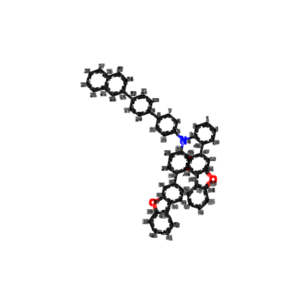 c1ccc(N(c2ccc(-c3ccc(-c4ccc5ccccc5c4)cc3)cc2)c2ccc(-c3ccc4c(c3)oc3ccccc34)cc2)c(-c2ccc3c(c2)oc2ccccc23)c1